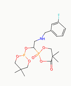 CC1(C)COP(OC(CNCc2cccc(F)c2)P2(=O)OCC(C)(C)C(=O)O2)OC1